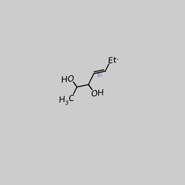 C[CH]/C=C/C(O)C(C)O